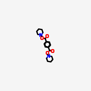 O=C(ON1CCCCC1)c1ccc(C(=O)ON2CCCCC2)cc1